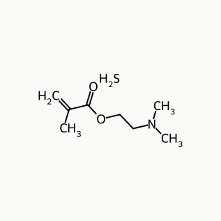 C=C(C)C(=O)OCCN(C)C.S